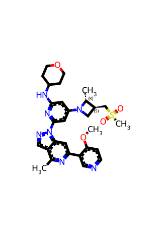 COc1ccncc1-c1cc2c(cnn2-c2cc(N3C[C@H](CS(C)(=O)=O)[C@H]3C)cc(NC3CCOCC3)n2)c(C)n1